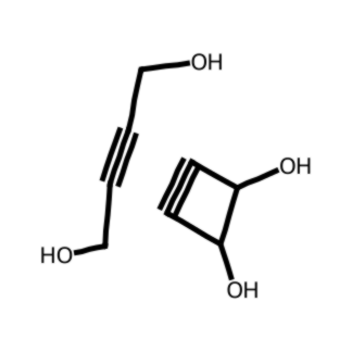 OC1C#CC1O.OCC#CCO